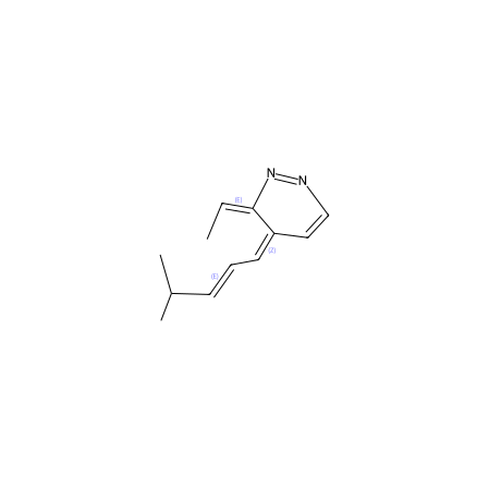 C/C=c1/nncc/c1=C/C=C/C(C)C